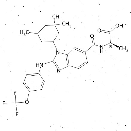 CC1CC(n2c(Nc3ccc(OC(F)(F)F)cc3)nc3ccc(C(=O)N[C@H](C)C(=O)O)cc32)CC(C)(C)C1